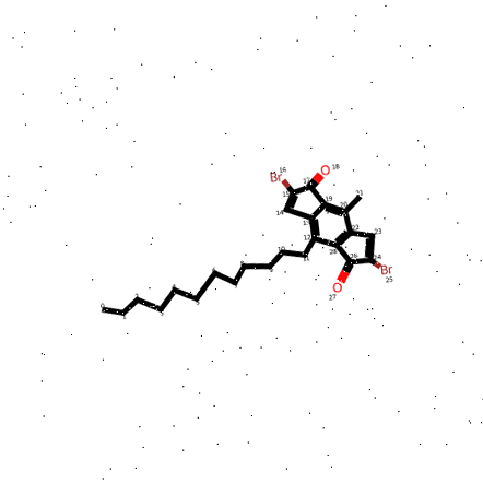 CCCCCCCCCCCCc1c2cc(Br)c(=O)c2c(C)c2cc(Br)c(=O)c12